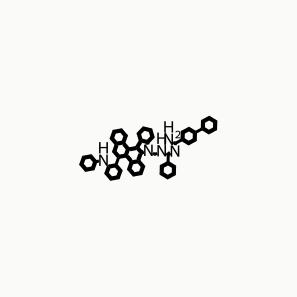 NC(/N=C(\NCn1c2ccccc2c2c3c4ccccc4cc(-c4ccccc4Nc4ccccc4)c3c3ccccc3c21)c1ccccc1)c1ccc(-c2ccccc2)cc1